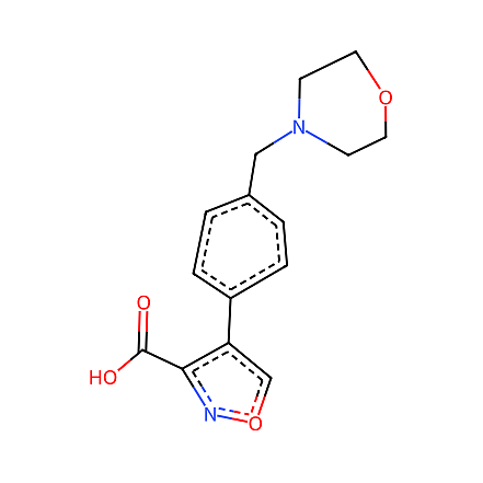 O=C(O)c1nocc1-c1ccc(CN2CCOCC2)cc1